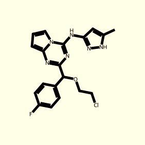 Cc1cc(Nc2nc(C(OCCCl)c3ccc(F)cc3)nc3cccn23)n[nH]1